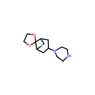 C1CN(C2CC3CCC(C2)C32OCCO2)CCN1